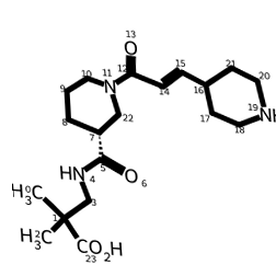 CC(C)(CNC(=O)[C@@H]1CCCN(C(=O)/C=C/C2CCNCC2)C1)C(=O)O